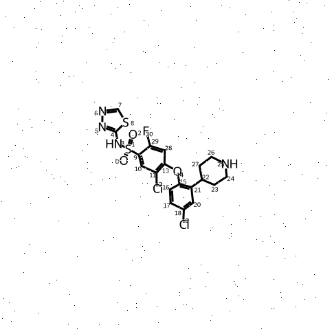 O=S(=O)(Nc1nncs1)c1cc(Cl)c(Oc2ccc(Cl)cc2C2CCNCC2)cc1F